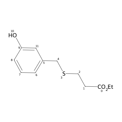 CCOC(=O)CCSCc1cccc(O)c1